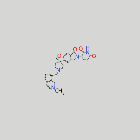 CN1C=Cc2cccc(CN3CCC4(CC3)COc3cc5c(cc34)CN(C3CCC(=O)NC3=O)C5=O)c2C1